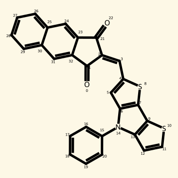 O=C1C(=Cc2cc3c(s2)c2sccc2n3-c2ccccc2)C(=O)c2cc3ccccc3cc21